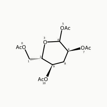 CC(=O)OC[C@@H]1OC(OC(C)=O)[C@@H](OC(C)=O)C[C@H]1OC(C)=O